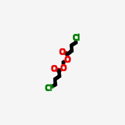 O=C(CCCCl)OCOC(=O)CCCCl